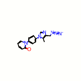 Cc1c(CN=[N+]=[N-])ncn1-c1ccc(-n2ccccc2=O)cc1